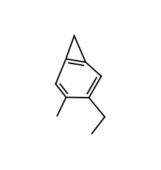 CCc1cc2c(cc1C)C2